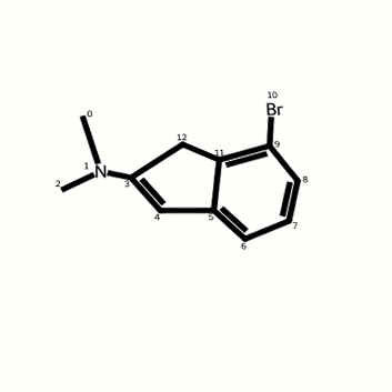 CN(C)C1=Cc2cccc(Br)c2C1